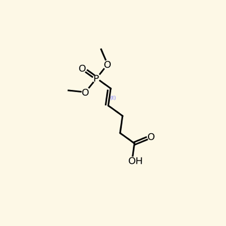 COP(=O)(/C=C/CCC(=O)O)OC